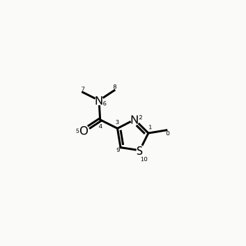 Cc1nc(C(=O)N(C)C)cs1